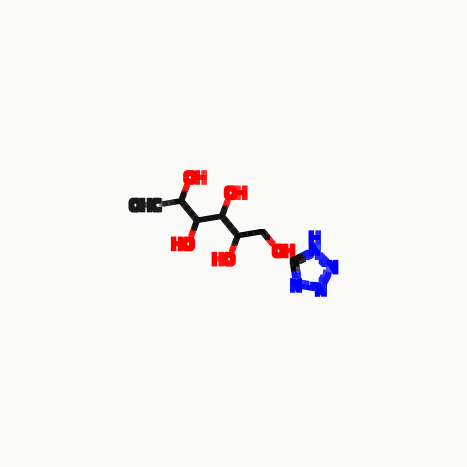 O=CC(O)C(O)C(O)C(O)CO.c1nnn[nH]1